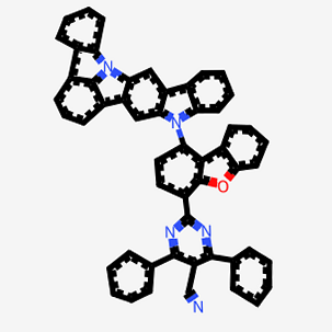 N#Cc1c(-c2ccccc2)nc(-c2ccc(-n3c4ccccc4c4cc5c(cc43)c3cccc4c6ccccc6n5c43)c3c2oc2ccccc23)nc1-c1ccccc1